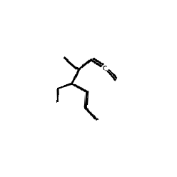 C=C=CC(C)C(CC)CCC